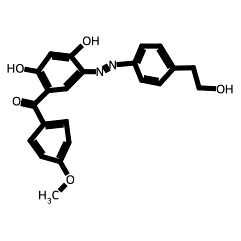 COc1ccc(C(=O)c2cc(/N=N/c3ccc(CCO)cc3)c(O)cc2O)cc1